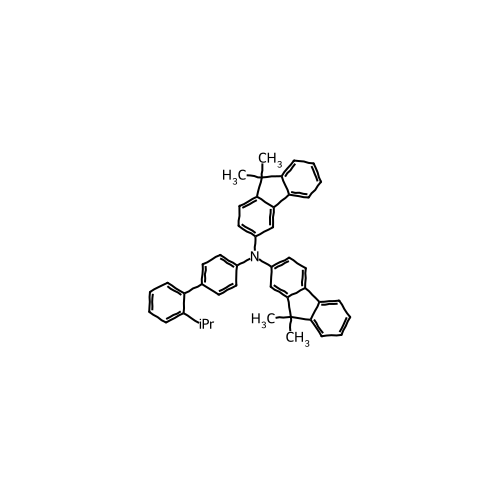 CC(C)c1ccccc1-c1ccc(N(c2ccc3c(c2)-c2ccccc2C3(C)C)c2ccc3c(c2)C(C)(C)c2ccccc2-3)cc1